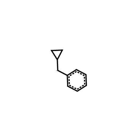 [CH](c1ccccc1)C1CC1